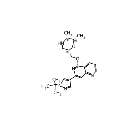 C[C@@H]1O[C@H](COc2nc(-c3cnn(C(C)(C)C)c3)cc3ncccc23)CN[C@@H]1C